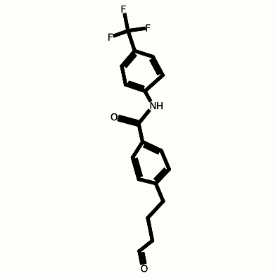 O=CCCCc1ccc(C(=O)Nc2ccc(C(F)(F)F)cc2)cc1